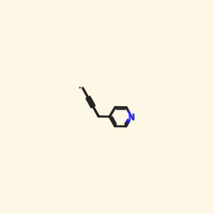 [CH2]C#CCc1ccncc1